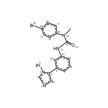 CC(C)n1cnnc1-c1cccc(NC(=O)N(C)c2ccc(Br)cc2)n1